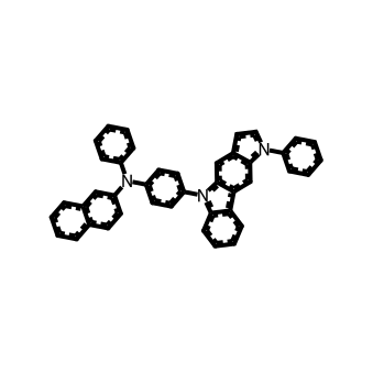 c1ccc(N(c2ccc(-n3c4ccccc4c4cc5c(ccn5-c5ccccc5)cc43)cc2)c2ccc3ccccc3c2)cc1